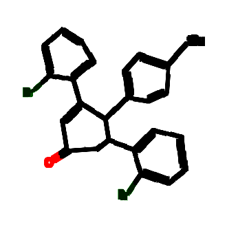 CC(C)(C)c1ccc(C2C(c3ccccc3Br)=CC(=O)CC2c2ccccc2Br)cc1